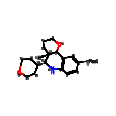 CCCCCc1ccc2c(c1)C1OCCC[C@H]1[C@@H](C1CCOCC1)N2